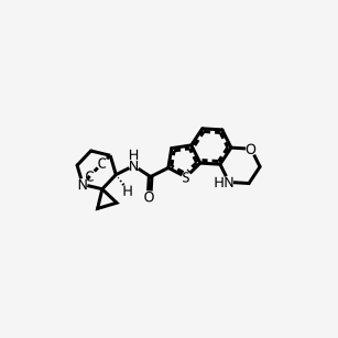 O=C(N[C@@H]1C2CCN(CC2)C12CC2)c1cc2ccc3c(c2s1)NCCO3